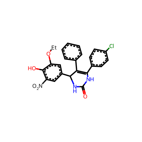 CCOc1cc(C2NC(=O)NC(c3ccc(Cl)cc3)=C2c2ccccc2)cc([N+](=O)[O-])c1O